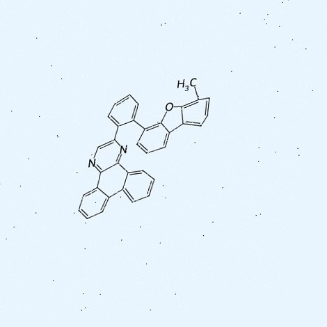 Cc1cccc2c1oc1c(-c3ccccc3-c3cnc4c5ccccc5c5ccccc5c4n3)cccc12